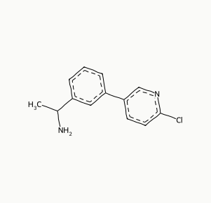 CC(N)c1cccc(-c2ccc(Cl)nc2)c1